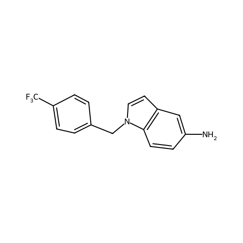 Nc1ccc2c(ccn2Cc2ccc(C(F)(F)F)cc2)c1